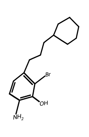 Nc1ccc(CCCC2CCCCC2)c(Br)c1O